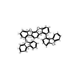 c1ccc2c(c1)oc1cccc(-c3cccc4oc5c(ccc6c5oc5cccc(-n7c8ccccc8c8ccccc87)c56)c34)c12